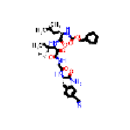 CC[C@H](C)C(NC(=O)[C@H](CCC(C)C)NC(=O)OCc1ccccc1)C(=O)C(=O)NCC(=O)N[C@@H](Cc1ccc(C#N)cc1)C(N)=O